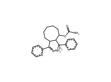 C=C(c1ccccn1)C1C(OC(N)=O)CCCCCC1/C(=N\N)c1ccccn1